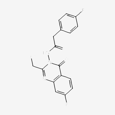 CC(C)Cc1nc2cc(F)ccc2c(=O)n1NC(=O)Cc1ccc(F)cc1